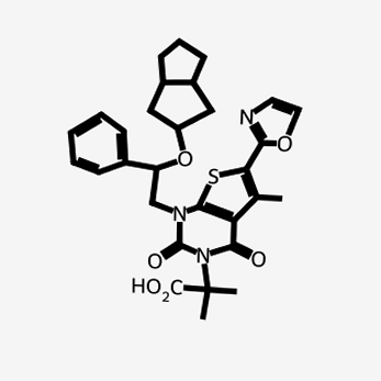 Cc1c(-c2ncco2)sc2c1c(=O)n(C(C)(C)C(=O)O)c(=O)n2CC(OC1CC2CCCC2C1)c1ccccc1